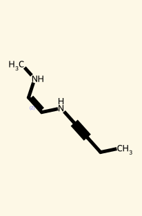 CCC#CN/C=C\NC